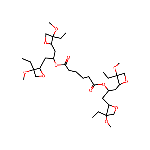 CCC1(OC)COC1CC(CC1OCC1(CC)OC)OC(=O)CCCCC(=O)OC(CC1OCC1(CC)OC)CC1OCC1(CC)OC